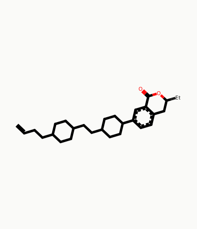 C=CCCC1CCC(CCC2CCC(c3ccc4c(c3)C(=O)OC(CC)C4)CC2)CC1